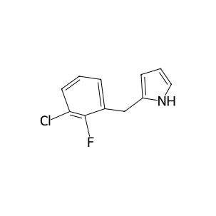 Fc1c(Cl)cccc1Cc1ccc[nH]1